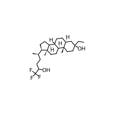 CC[C@]1(O)CC[C@@]2(C)[C@@H](CC[C@@H]3[C@@H]2CC[C@]2(C)[C@@H]([C@H](C)CCC(O)C(F)(F)F)CC[C@@H]32)C1